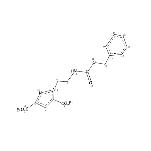 CCOC(=O)c1cc(C(=O)OCC)n(CCNC(=O)OCc2ccccc2)n1